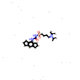 CC(C)N(CCCCS(=O)(=O)NC(=O)Nc1c2c(cc3c1CCC3)CCC2)C(C)C